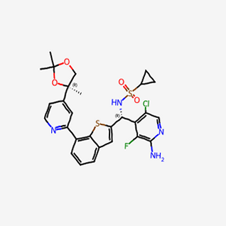 CC1(C)OC[C@@](C)(c2ccnc(-c3cccc4cc([C@H](NS(=O)(=O)C5CC5)c5c(Cl)cnc(N)c5F)sc34)c2)O1